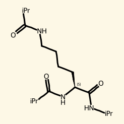 CC(C)NC(=O)[C@H](CCCCNC(=O)C(C)C)NC(=O)C(C)C